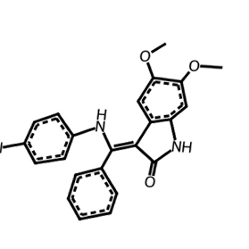 COc1cc2c(cc1OC)/C(=C(\Nc1ccc(I)cc1)c1ccccc1)C(=O)N2